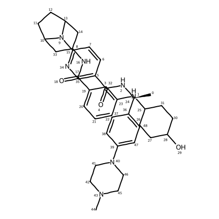 C[C@H](NC(=O)c1ccc(N2C3CCC2CC(NC(=O)c2cccc(NC4CCC(O)CC4)c2)C3)nc1)c1ccc(N2CCN(C)CC2)cc1